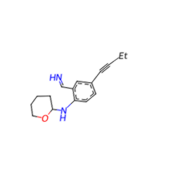 CCC#Cc1ccc(NC2CCCCO2)c(C=N)c1